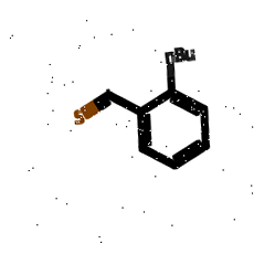 CCCCc1ccccc1[C]=S